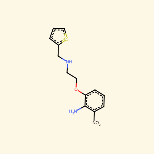 Nc1c(OCCNCc2cccs2)cccc1[N+](=O)[O-]